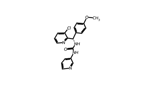 COc1ccc([C@H](NC(=O)Nc2cccnc2)c2ncccc2Cl)cc1